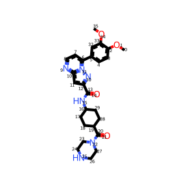 COc1ccc(-c2ccnc3cc(C(=O)NC4CCC(C(=O)N5CCNCC5)CC4)nn23)cc1OC